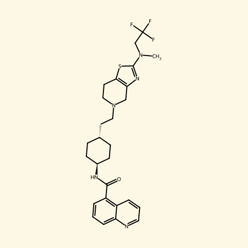 CN(CC(F)(F)F)c1nc2c(s1)CCN(CC[C@H]1CC[C@H](NC(=O)c3cccc4ncccc34)CC1)C2